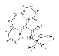 COP(=O)(O)NC(=O)N1c2ccccc2C=Cc2ccccc21